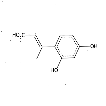 C/C(=C\C(=O)O)c1ccc(O)cc1O